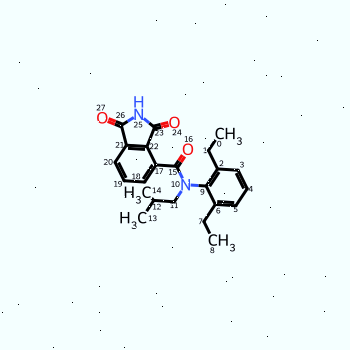 CCc1cccc(CC)c1N(CC(C)C)C(=O)c1cccc2c1C(=O)NC2=O